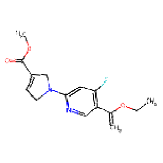 C=C(OCC)c1cnc(N2CC=C(C(=O)OC)C2)cc1F